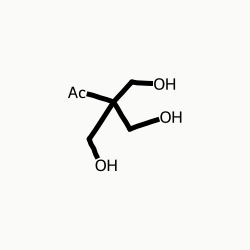 CC(=O)C(CO)(CO)CO